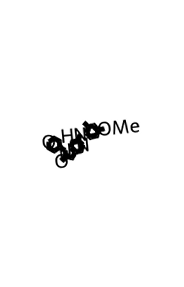 COc1ccc(Nc2cc3c(cn2)CC(=O)N3C2CCOCC2)c(C)c1